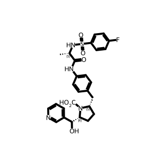 C[C@H](NS(=O)(=O)c1ccc(F)cc1)C(=O)Nc1ccc(C[C@@H]2CC[C@H](C(O)c3cccnc3)N2C(=O)O)cc1